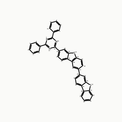 c1ccc(-c2nc(-c3ccccc3)nc(-c3ccc4c(c3)sc3ccc(-c5ccc6c(c5)sc5ccccc56)cc34)n2)cc1